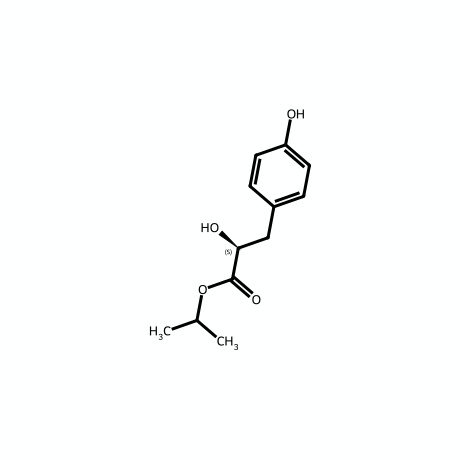 CC(C)OC(=O)[C@@H](O)Cc1ccc(O)cc1